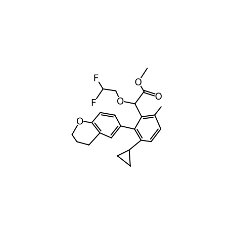 COC(=O)C(OCC(F)F)c1c(C)ccc(C2CC2)c1-c1ccc2c(c1)CCCO2